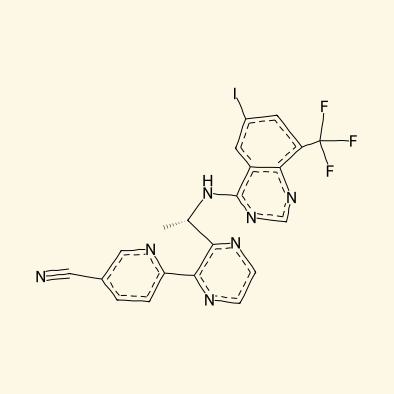 C[C@H](Nc1ncnc2c(C(F)(F)F)cc(I)cc12)c1nccnc1-c1ccc(C#N)cn1